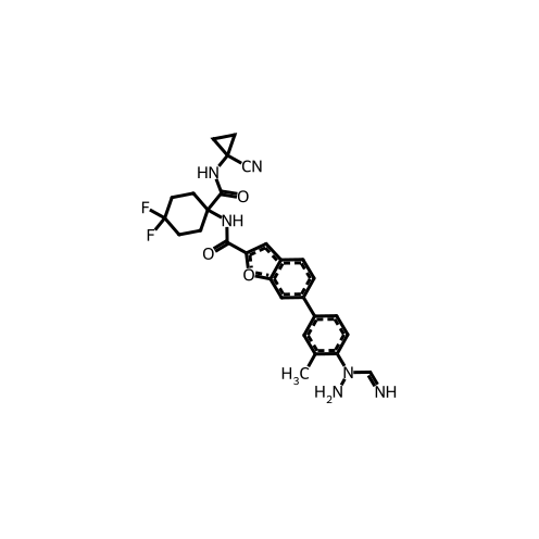 Cc1cc(-c2ccc3cc(C(=O)NC4(C(=O)NC5(C#N)CC5)CCC(F)(F)CC4)oc3c2)ccc1N(N)C=N